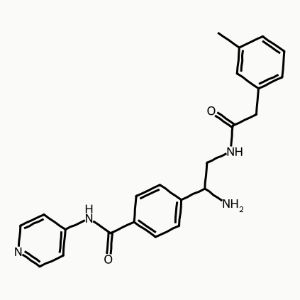 Cc1cccc(CC(=O)NCC(N)c2ccc(C(=O)Nc3ccncc3)cc2)c1